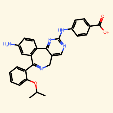 CC(C)Oc1ccccc1C1=NCc2cnc(Nc3ccc(C(=O)O)cc3)nc2-c2ccc(N)cc21